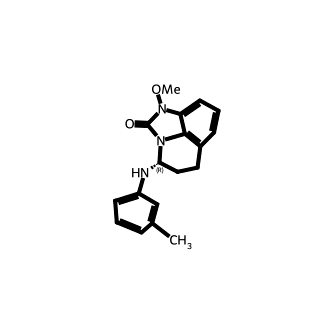 COn1c(=O)n2c3c(cccc31)CC[C@@H]2Nc1cccc(C)c1